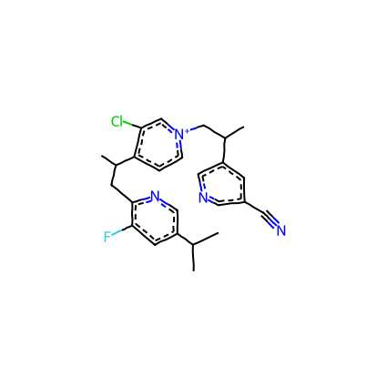 CC(C)c1cnc(CC(C)c2cc[n+](CC(C)c3cncc(C#N)c3)cc2Cl)c(F)c1